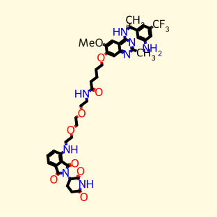 COc1cc2c(N[C@H](C)c3cc(N)cc(C(F)(F)F)c3)nc(C)nc2cc1OCCCCC(=O)NCCOCCOCCNc1cccc2c1C(=O)N(C1CCC(=O)NC1=O)C2=O